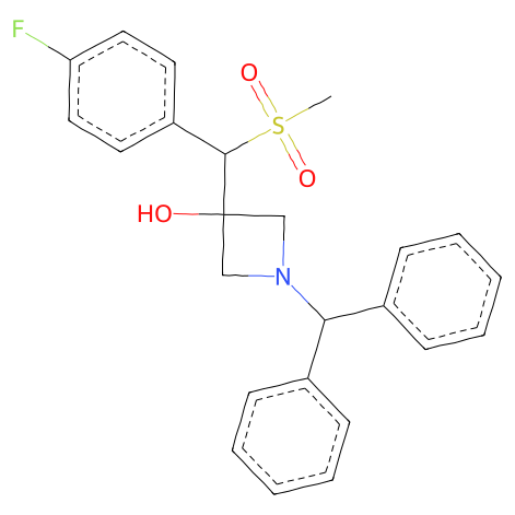 CS(=O)(=O)C(c1ccc(F)cc1)C1(O)CN(C(c2ccccc2)c2ccccc2)C1